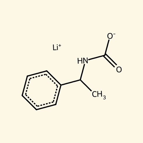 CC(NC(=O)[O-])c1ccccc1.[Li+]